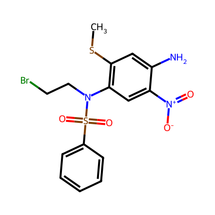 CSc1cc(N)c([N+](=O)[O-])cc1N(CCBr)S(=O)(=O)c1ccccc1